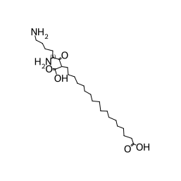 NCCCC[C@H](N)C(=O)C(CCCCCCCCCCCCCCCCCC(=O)O)C(=O)O